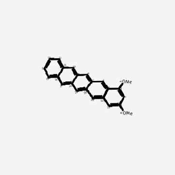 COc1cc(OC)c2cc3cc4cc5ccccc5cc4cc3cc2c1